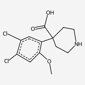 COc1cc(Cl)c(Cl)cc1C1(C(=O)O)CCNCC1